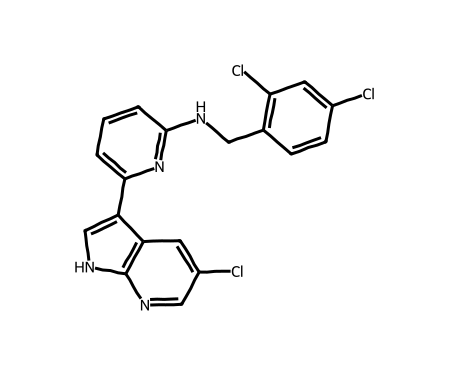 Clc1ccc(CNc2cccc(-c3c[nH]c4ncc(Cl)cc34)n2)c(Cl)c1